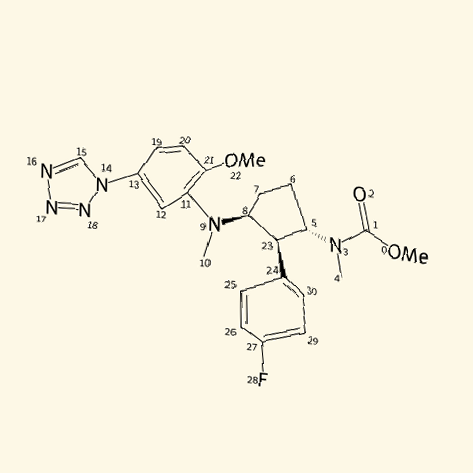 COC(=O)N(C)[C@H]1CC[C@H](N(C)c2cc(-n3cnnn3)ccc2OC)[C@@H]1c1ccc(F)cc1